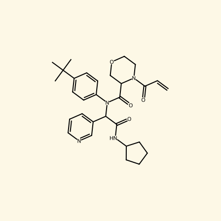 C=CC(=O)N1CCOCC1C(=O)N(c1ccc(C(C)(C)C)cc1)C(C(=O)NC1CCCC1)c1cccnc1